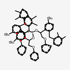 Cc1cccc(Cc2ccc(C(C)(C)C)cc2C(COc2ccccc2)OP(OC(COc2ccccc2)c2cc(C(C)(C)C)ccc2Cc2cccc(C)c2C)OC(COc2ccccc2)c2cc(C(C)(C)C)ccc2Cc2cccc(C)c2C)c1C